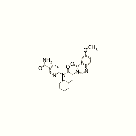 COc1ccc2ncn(C(CC3CCCCC3)C(=O)Nc3ccc(C(N)=O)cn3)c(=O)c2c1